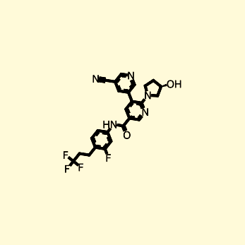 N#Cc1cncc(-c2cc(C(=O)Nc3ccc(CCC(F)(F)F)c(F)c3)cnc2N2CC[C@@H](O)C2)c1